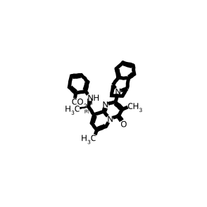 Cc1cc([C@@H](C)Nc2ccccc2C(=O)O)c2nc(N3C4CCC3c3ccccc34)c(C)c(=O)n2c1